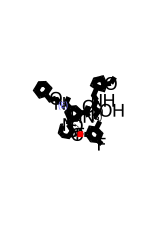 COc1cccc(CNC[C@@H](O)[C@H](Cc2cc(F)cc(F)c2)NC(=O)c2cc(/C(C)=N/OCc3ccccc3)cc(N3CCCCS3(=O)=O)c2)c1